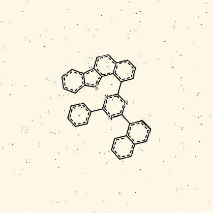 c1ccc(-c2nc(-c3cccc4ccccc34)nc(-c3cccc4ccc5c6ccccc6sc5c34)n2)cc1